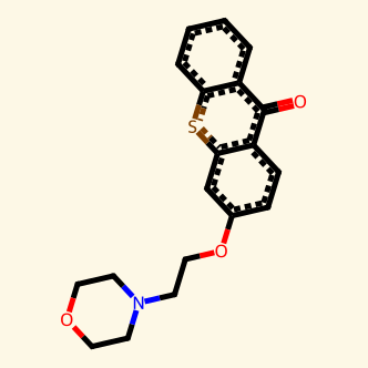 O=c1c2ccccc2sc2cc(OCCN3CCOCC3)ccc12